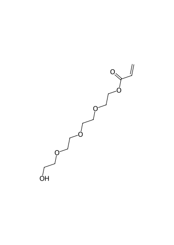 C=CC(=O)OCCOCCOCCOCCO